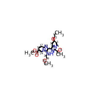 CCCOc1ccn2c(C(C)=O)nc(-c3nc4ccc(C(=O)OC)cn4c3NCCOC)c2c1